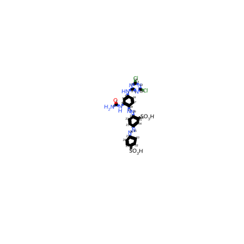 NC(=O)Nc1cc(Nc2nc(Cl)nc(Cl)n2)ccc1N=Nc1ccc(N=Nc2ccc(S(=O)(=O)O)cc2)cc1S(=O)(=O)O